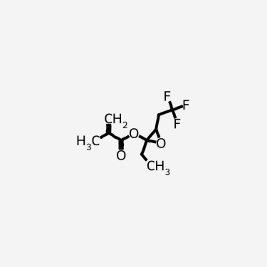 C=C(C)C(=O)OC1(CC)OC1CC(F)(F)F